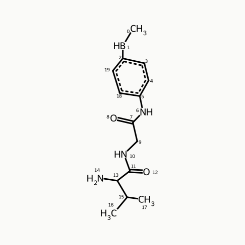 CBc1ccc(NC(=O)CNC(=O)C(N)C(C)C)cc1